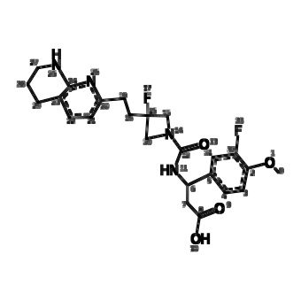 COc1ccc(C(CC(=O)O)NC(=O)N2CC(F)(CCc3ccc4c(n3)NCCC4)C2)cc1F